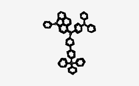 c1ccc(N(c2ccccc2)c2ccc(N(c3ccc(-c4ccc([Si](c5ccccc5)(c5ccccc5)c5ccccc5)cc4)cc3)c3ccc4c5c3ccc3cccc(c35)n4-c3ccccc3)cc2)cc1